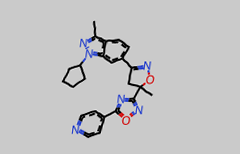 Cc1nn(C2CCCC2)c2cc(C3=NOC(C)(c4noc(-c5ccncc5)n4)C3)ccc12